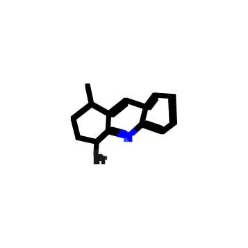 CC1CCC(C(C)C)c2nc3ccccc3cc21